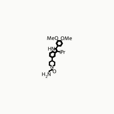 COc1ccc(-c2[nH]c3ccc(C4CCN(C(=O)CN)CC4)cc3c2C(C)C)cc1OC